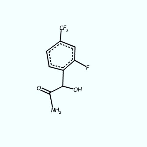 NC(=O)C(O)c1ccc(C(F)(F)F)cc1F